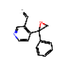 C=Cc1cnccc1C1(c2ccccc2)CO1